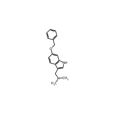 CN(C)Cc1c[nH]c2cc(OCc3ccccc3)ccc12